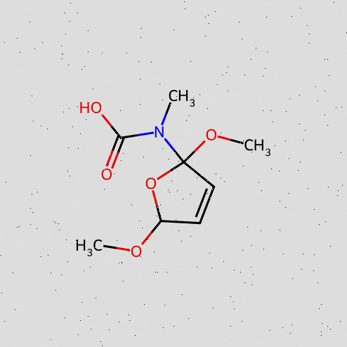 COC1C=CC(OC)(N(C)C(=O)O)O1